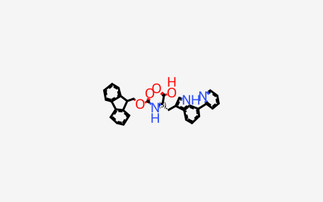 O=C(N[C@@H](Cc1c[nH]c2c(-c3ccccn3)cccc12)C(=O)O)OCC1c2ccccc2-c2ccccc21